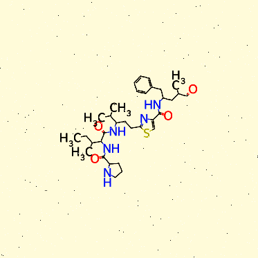 CCC(C)C(NC(=O)C1CCCN1)C(=O)NC(CCc1nc(C(=O)NC(Cc2ccccc2)CC(C)C=O)cs1)C(C)C